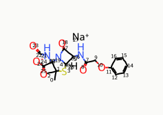 CC1(C)S[C@@H]2[C@H](NC(=O)COc3ccccc3)C(=O)N2[C@@]1(NC=O)C(=O)[O-].[Na+]